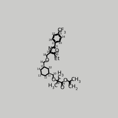 C=C(C)OC(=O)C(C)(C)OC[C@H]1CCC[C@@H](COCc2nc(-c3ccc(C(F)(F)F)cc3)oc2CC)C1